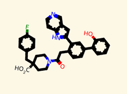 O=C(Cc1ccc(-c2ccccc2O)cc1-c1cc2cnccc2[nH]1)N1CCC(Cc2ccc(F)cc2)(C(=O)O)CC1